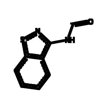 O=[C]Nc1nsc2ccccc12